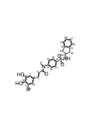 CN(C(=O)C=Cc1cc(O)c(O)c(Br)c1)c1ccc(S(=O)(=O)NC2Cc3ccccc3C2)cc1